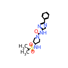 CC(C)S(=O)(=O)NC1CCN(C(=O)Nc2cnc(-c3ccccc3)cn2)CC1